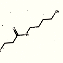 O=C(CCS)NCCCCS